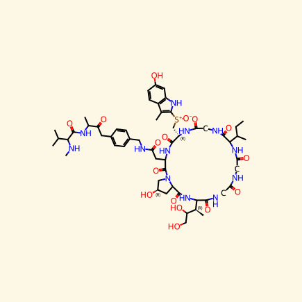 CCC(C)C1NC(=O)CNC(=O)CNC(=O)C([C@@H](C)C(O)CO)NC(=O)C2C[C@@H](O)CN2C(=O)C(CC(=O)NCc2ccc(CC(=O)C(C)NC(=O)C(NC)C(C)C)cc2)NC(=O)[C@H](C[S+]([O-])c2[nH]c3cc(O)ccc3c2C)NC(=O)CNC1=O